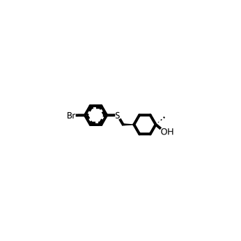 C[C@]1(O)CC[C@@H](CSc2ccc(Br)cc2)CC1